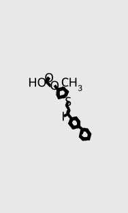 Cc1cc(SCC=C(I)c2ccc(-c3ccccc3)cc2)ccc1OCC(=O)O